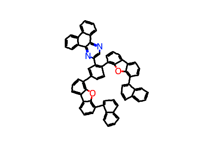 c1ccc2c(-c3cccc4c3oc3c(-c5ccc(-c6cccc7c6oc6c(-c8cccc9ccccc89)cccc67)c(-c6cnc7c8ccccc8c8ccccc8c7n6)c5)cccc34)cccc2c1